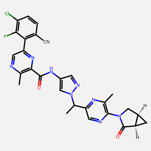 Cc1ncc(-c2c(C#N)ccc(Cl)c2F)nc1C(=O)Nc1cnn(C(C)c2cnc(N3C[C@H]4C[C@H]4C3=O)c(C)n2)c1